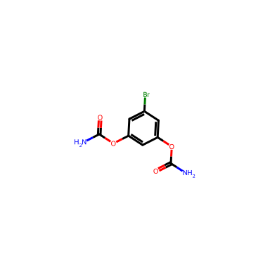 NC(=O)Oc1cc(Br)cc(OC(N)=O)c1